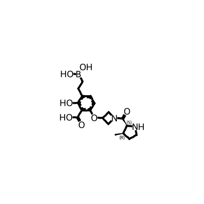 C[C@@H]1CCN[C@@H]1C(=O)N1CC(Oc2ccc(CCB(O)O)c(O)c2C(=O)O)C1